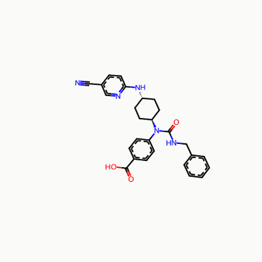 N#Cc1ccc(N[C@H]2CC[C@H](N(C(=O)NCc3ccccc3)c3ccc(C(=O)O)cc3)CC2)nc1